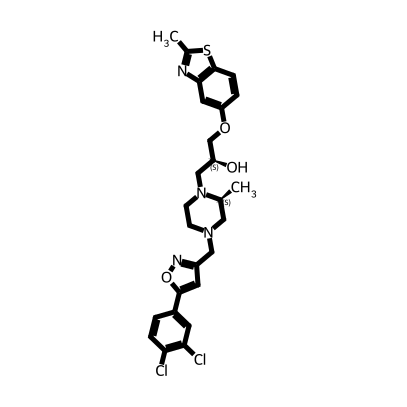 Cc1nc2cc(OC[C@@H](O)CN3CCN(Cc4cc(-c5ccc(Cl)c(Cl)c5)on4)C[C@@H]3C)ccc2s1